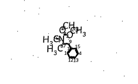 COC(OC)N(C)C(C)Cc1ccccc1